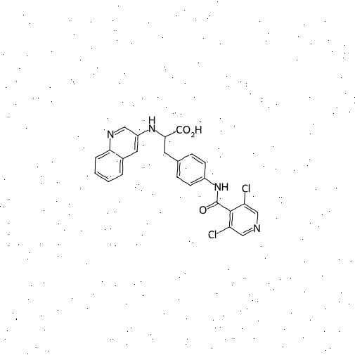 O=C(Nc1ccc(CC(Nc2cnc3ccccc3c2)C(=O)O)cc1)c1c(Cl)cncc1Cl